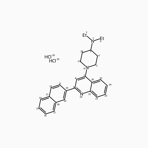 CCN(CC)C1CCN(c2cc(-c3ccc4ccccc4c3)nc3ccccc23)CC1.Cl.Cl